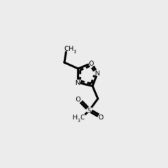 CCc1nc(CS(C)(=O)=O)no1